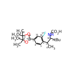 CC(c1ccc(B2OC(C)(C)C(C)(C)O2)cc1F)C(NC(=O)O)C(C)(C)C